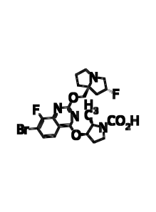 C[C@@H]1[C@H](Oc2nc(OC[C@@]34CCCN3C[C@H](F)C4)nc3c(F)c(Br)ccc23)CCN1C(=O)O